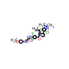 C/C=C/c1cc(C(=O)c2cc(F)c(NC(=O)/C=C/CNC3CCC(OC)CC3)c(F)c2)n2cccc(-c3c(C)cc4c(nc(C)n4C)c3Cl)c12